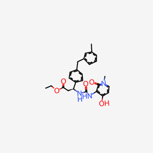 CCOC(=O)C[C@H](NC(=O)Nc1c(O)ccn(C)c1=O)c1ccc(Cc2cccc(C)c2)cc1